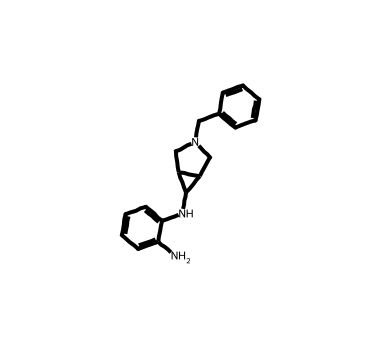 Nc1ccccc1NC1C2CN(Cc3ccccc3)CC21